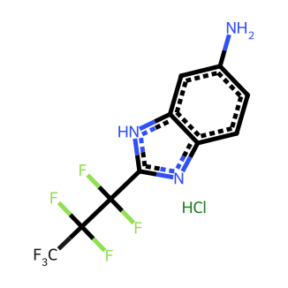 Cl.Nc1ccc2nc(C(F)(F)C(F)(F)C(F)(F)F)[nH]c2c1